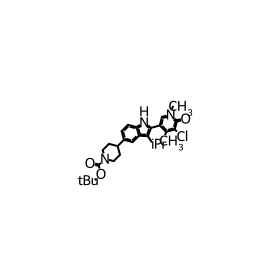 Cc1c(-c2[nH]c3ccc(C4CCN(C(=O)OC(C)(C)C)CC4)cc3c2C(C)C)cn(C)c(=O)c1Cl